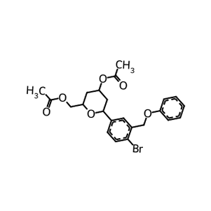 CC(=O)OCC1CC(OC(C)=O)CC(c2ccc(Br)c(COc3ccccc3)c2)O1